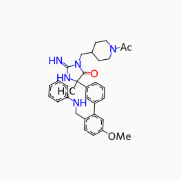 COc1ccc(CNc2ccccc2)c(-c2cccc(C3(C)NC(=N)N(CC4CCN(C(C)=O)CC4)C3=O)c2)c1